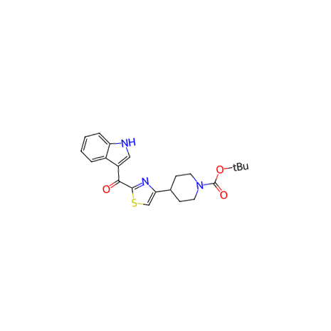 CC(C)(C)OC(=O)N1CCC(c2csc(C(=O)c3c[nH]c4ccccc34)n2)CC1